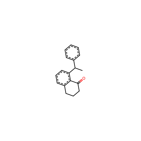 CC(c1ccccc1)c1cccc2c1C(=O)CCC2